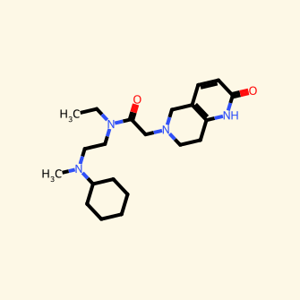 CCN(CCN(C)C1CCCCC1)C(=O)CN1CCc2[nH]c(=O)ccc2C1